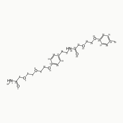 CNC(=O)COCCOCCOc1ccc(CCNC(=O)COCCOc2ccc(C)cc2)cc1